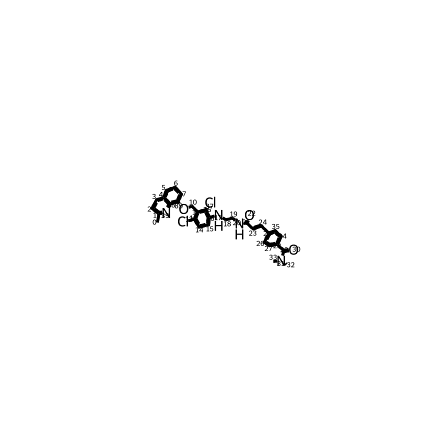 Cc1ccc2cccc(OCc3c(Cl)ccc(NCCNC(=O)/C=C/c4ccc(C(=O)N(C)C)cc4)c3Cl)c2n1